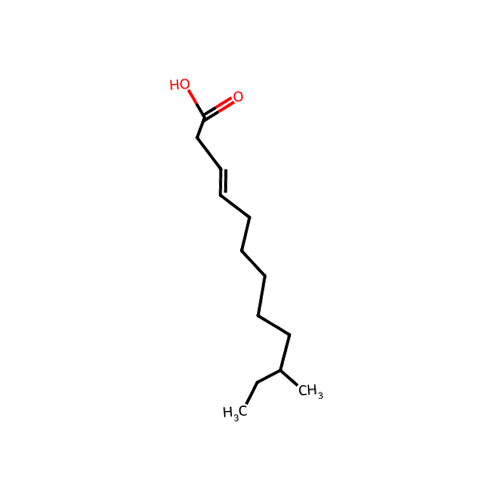 CCC(C)CCCCC/C=C/CC(=O)O